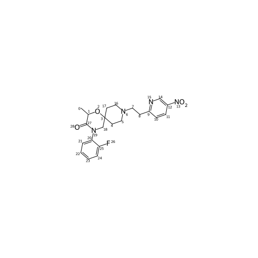 CC1OC2(CCN(CCc3ccc([N+](=O)[O-])cn3)CC2)CN(c2ccccc2F)C1=O